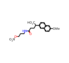 COc1ccc2cc(C(CCC(=O)NCCCO[N+](=O)[O-])C(=O)O)ccc2c1